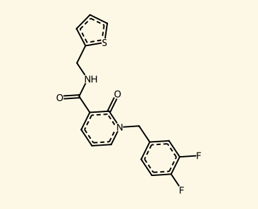 O=C(NCc1cccs1)c1cccn(Cc2ccc(F)c(F)c2)c1=O